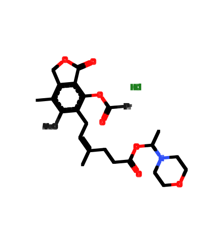 COc1c(C)c2c(c(OC(=O)C(C)C)c1CC=C(C)CCC(=O)OC(C)N1CCOCC1)C(=O)OC2.Cl